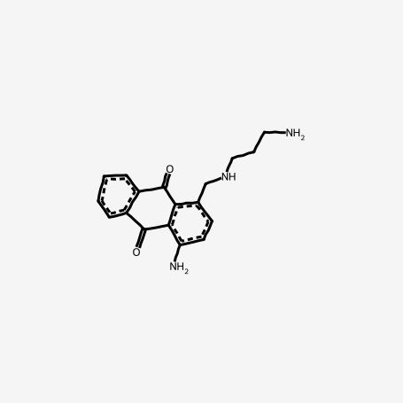 NCCCNCc1ccc(N)c2c1C(=O)c1ccccc1C2=O